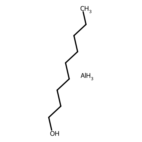 CCCCCCCCCO.[AlH3]